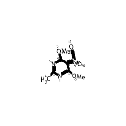 COC1=NC(C)=NC(OC)C1=S(=O)=O